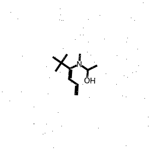 C=C/C=C(\N(C)C(C)O)C(C)(C)C